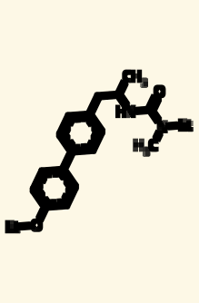 CCOc1ccc(-c2ccc(CC(C)NC(=O)N(C)CC)cc2)cc1